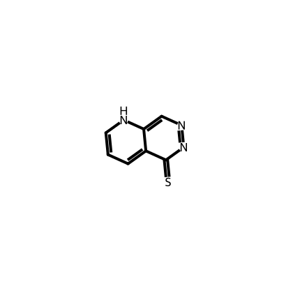 S=c1nncc2[nH]cccc1-2